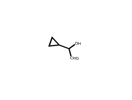 O=CC(O)C1CC1